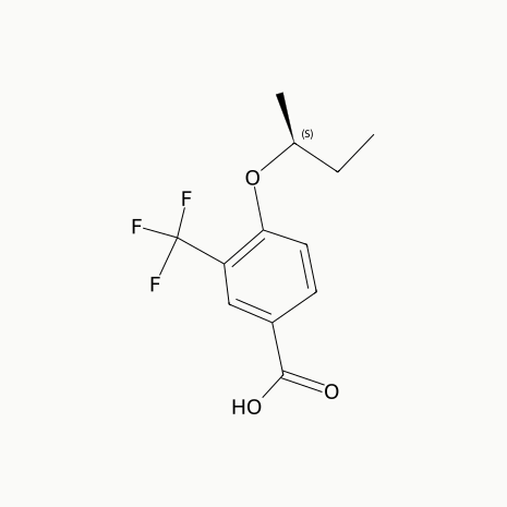 CC[C@H](C)Oc1ccc(C(=O)O)cc1C(F)(F)F